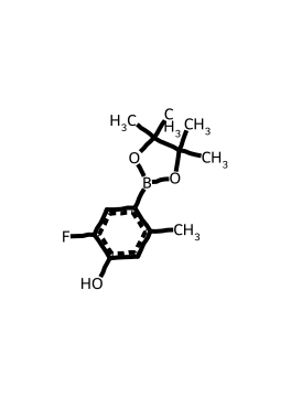 Cc1cc(O)c(F)cc1B1OC(C)(C)C(C)(C)O1